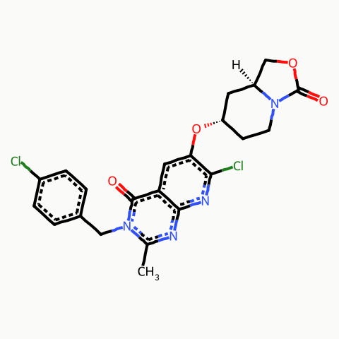 Cc1nc2nc(Cl)c(O[C@H]3CCN4C(=O)OC[C@@H]4C3)cc2c(=O)n1Cc1ccc(Cl)cc1